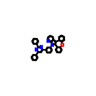 c1ccc(-c2cc(-c3cccc(-n4c5c(c6cccnc64)-c4ccccc4Oc4ccccc4-5)c3)nc(-c3ccccc3)n2)cc1